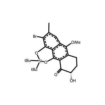 COc1c2c(c3c4c(c(Br)c(C)cc14)O[Si](C(C)(C)C)(C(C)(C)C)O3)C(=O)[C@@H](O)CC2